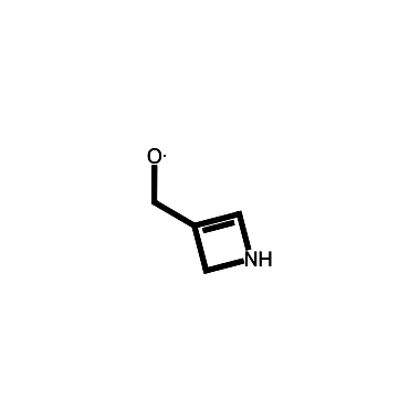 [O]CC1=CNC1